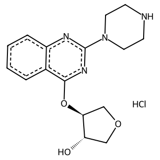 Cl.O[C@H]1COC[C@@H]1Oc1nc(N2CCNCC2)nc2ccccc12